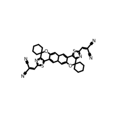 N#CC(C#N)=Cc1nc2c(s1)C1=CC3C=C4OC5(CCCCC5)c5nc(C=C(C#N)C#N)sc5C4=CC3C=C1OC21CCCCC1